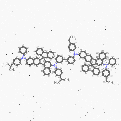 CCc1ccc(N(c2cccc(-c3cccc(N(c4ccc(C(C)C)cc4)c4cc5c(c6ccccc46)-c4cc6ccc(N(c7ccccc7)c7ccc(C(C)C)cc7)cc6cc4C54c5ccccc5-c5ccccc54)c3)c2)c2ccc3cc4c(cc3c2)C2(c3ccccc3-c3ccccc32)c2cc(N(c3ccccc3)c3ccc(CC)cc3)c3ccccc3c2-4)cc1